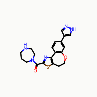 O=C(c1nc2c(s1)CCOc1cc(-c3cn[nH]c3)ccc1-2)N1CCCNCC1